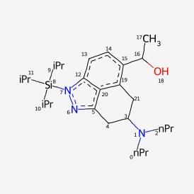 CCCN(CCC)C1Cc2nn([Si](C(C)C)(C(C)C)C(C)C)c3ccc(C(C)O)c(c23)C1